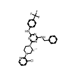 C[C@@H]1CN(c2ncccc2Cl)CCN1c1nc(NCc2ccccc2)nc(Nc2ccc(C(F)(F)F)cc2)n1